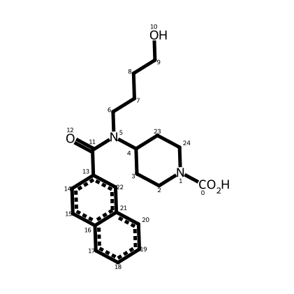 O=C(O)N1CCC(N(CCCCO)C(=O)c2ccc3ccccc3c2)CC1